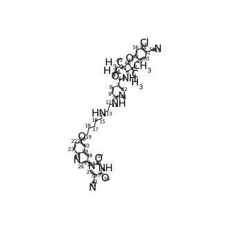 CC1(C)[C@H](NC(=O)c2ccc(NCCNCCCCCOc3ccc4ncc(-n5cc(C#N)c(=O)[nH]c5=O)cc4c3)nc2)C(C)(C)[C@H]1Oc1ccc(C#N)c(Cl)c1